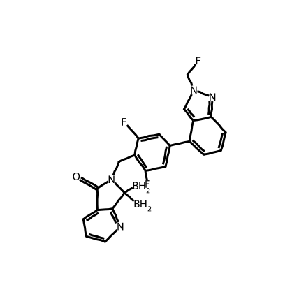 BC1(B)c2ncccc2C(=O)N1Cc1c(F)cc(-c2cccc3nn(CF)cc23)cc1F